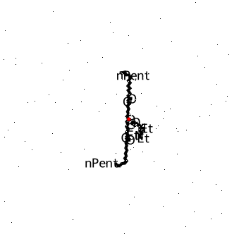 CCCCC/C=C\C/C=C\CCCCCCCC(=O)OCCCCCCC(CCCCCCOC(=O)CCCCCCC/C=C\C/C=C\CCCCC)OC(=O)OCCN(CC)CCN(CC)CC